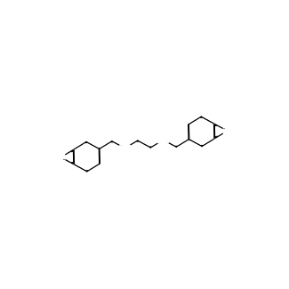 C(COCC1CCC2SC2C1)OCC1CCC2SC2C1